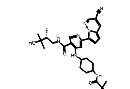 CC1(C(=O)NC2CCC(Nc3cc(-c4ccc5cc(C#N)cnn45)ncc3C(=O)NC[C@@H](F)C(C)(C)O)CC2)CC1